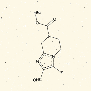 CC(C)(C)OC(=O)N1CCn2c(nc(C=O)c2F)C1